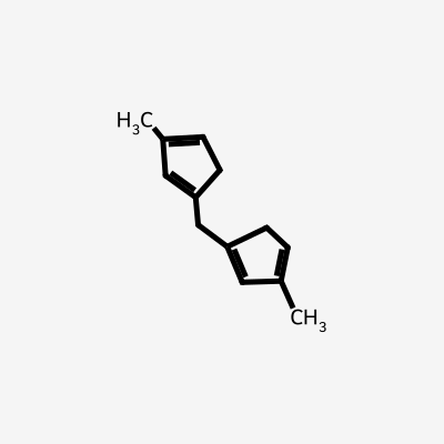 CC1=CCC(CC2=CC(C)=CC2)=C1